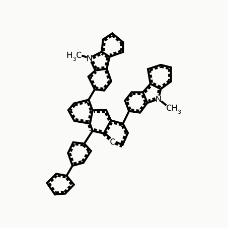 Cn1c2ccccc2c2ccc(-c3cccc4c(-c5ccc(-c6ccccc6)cc5)c5cccc(-c6ccc7c8ccccc8n(C)c7c6)c5cc34)cc21